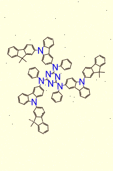 CC1(C)c2ccccc2-c2ccc(-n3c4ccccc4c4cc(N(c5ccccc5)c5nc(N(c6ccccc6)c6ccc7c(c6)c6ccccc6n7-c6ccc7c(c6)C(C)(C)c6ccccc6-7)nc(N(c6ccccc6)c6ccc7c(c6)c6ccccc6n7-c6ccc7c(c6)C(C)(C)c6ccccc6-7)n5)ccc43)cc21